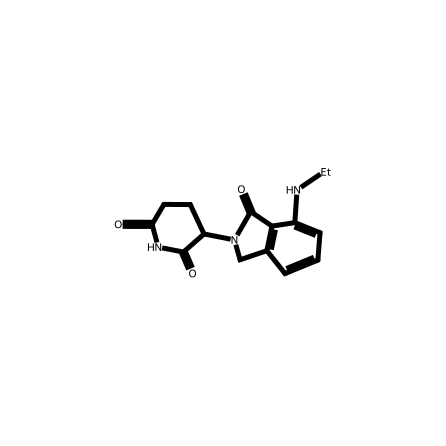 CCNc1cccc2c1C(=O)N(C1CCC(=O)NC1=O)C2